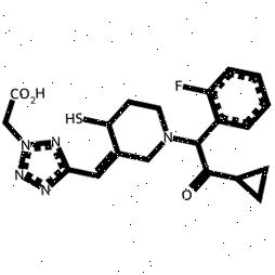 O=C(O)Cn1nnc(C=C2CN(C(C(=O)C3CC3)c3ccccc3F)CCC2S)n1